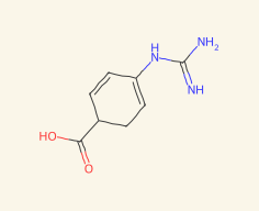 N=C(N)NC1=CCC(C(=O)O)C=C1